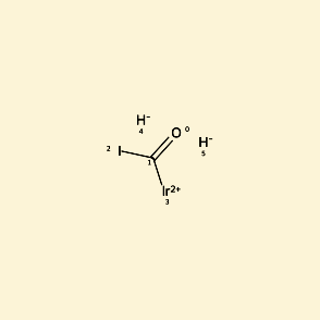 O=[C](I)[Ir+2].[H-].[H-]